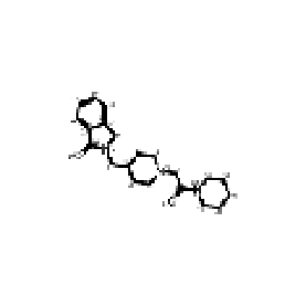 O=C(CN1CCC(CN2Cc3ccccc3C2=O)CC1)N1CCCCC1